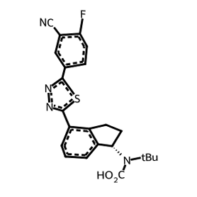 CC(C)(C)N(C(=O)O)[C@H]1CCc2c(-c3nnc(-c4ccc(F)c(C#N)c4)s3)cccc21